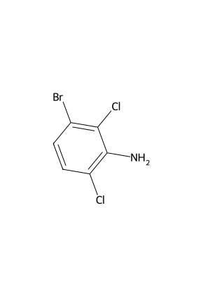 Nc1c(Cl)ccc(Br)c1Cl